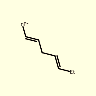 [CH2]CC=CCC=CCCC